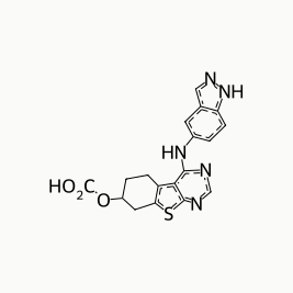 O=C(O)OC1CCc2c(sc3ncnc(Nc4ccc5[nH]ncc5c4)c23)C1